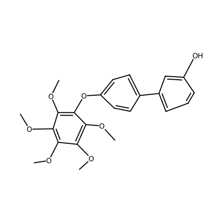 COc1c(OC)c(OC)c(Oc2ccc(-c3cccc(O)c3)cc2)c(OC)c1OC